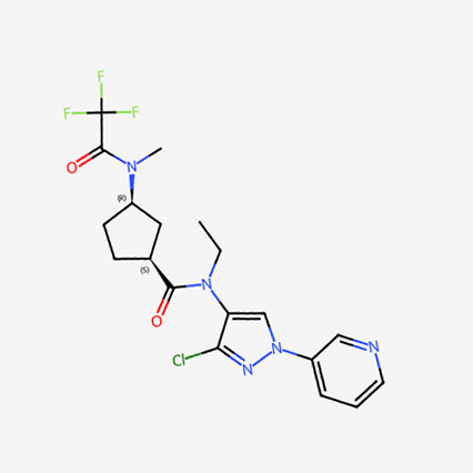 CCN(C(=O)[C@H]1CC[C@@H](N(C)C(=O)C(F)(F)F)C1)c1cn(-c2cccnc2)nc1Cl